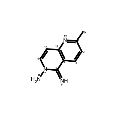 Cc1ccc2c(=N)n(N)ccc2n1